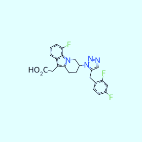 O=C(O)Cc1c2n(c3c(F)cccc13)CC(n1nncc1Cc1ccc(F)cc1F)CC2